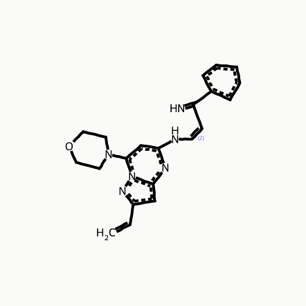 C=Cc1cc2nc(N/C=C\C(=N)c3ccccc3)cc(N3CCOCC3)n2n1